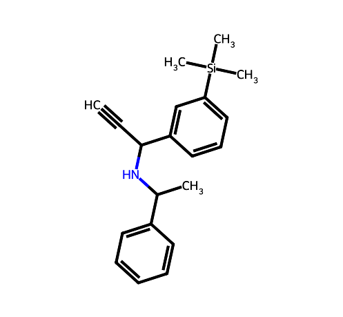 C#CC(NC(C)c1ccccc1)c1cccc([Si](C)(C)C)c1